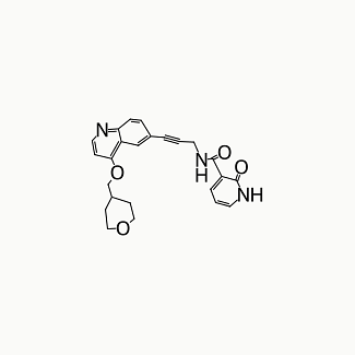 O=C(NCC#Cc1ccc2nccc(OCC3CCOCC3)c2c1)c1ccc[nH]c1=O